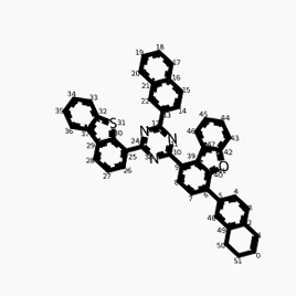 C1=Cc2ccc(-c3ccc(-c4nc(-c5ccc6ccccc6c5)nc(-c5cccc6c5sc5ccccc56)n4)c4c3oc3ccccc34)cc2CC1